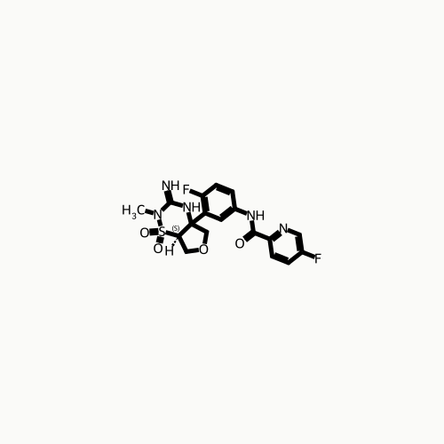 CN1C(=N)NC2(c3cc(NC(=O)c4ccc(F)cn4)ccc3F)COC[C@H]2S1(=O)=O